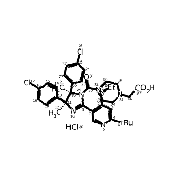 CCOc1cc(C(C)(C)C)ncc1C1=N[C@@](C)(c2ccc(Cl)cc2)[C@@](C)(c2ccc(Cl)cc2)N1C(=O)N1CCN(CC(=O)O)CC1.Cl